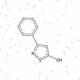 Oc1cc(-c2ccccc2)ns1